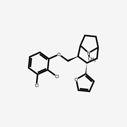 CN1C2CCC1[C@H](COc1cccc(Cl)c1Cl)[C@@H](c1ccco1)C2